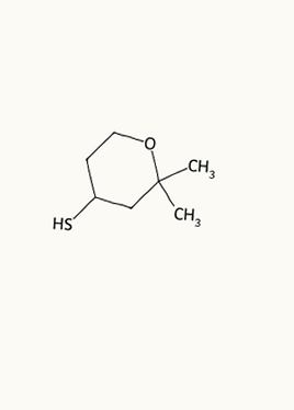 CC1(C)CC(S)CCO1